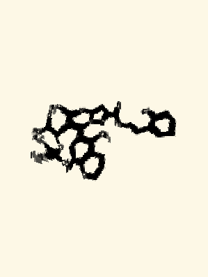 Cc1nc2cc(C(=O)NCCc3ccccc3Cl)nn2c(-c2cc(F)c3c(c2C)CCCO3)c1[C@H](OC(C)(C)C)C(=O)O